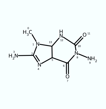 CN1C(N)=NC2C(=O)N(N)C(=O)NC21